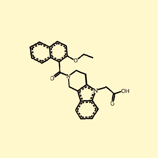 CCOc1ccc2ccccc2c1C(=O)N1CCc2c(c3ccccc3n2CC(=O)O)C1